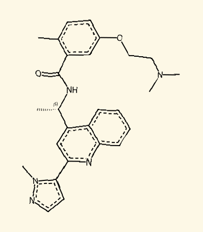 Cc1ccc(OCCN(C)C)cc1C(=O)N[C@@H](C)c1cc(-c2ccnn2C)nc2ccccc12